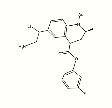 CCC(CN)c1ccc2c(c1)N(C(=O)Oc1cccc(F)c1)C[C@H](C)N2C(C)=O